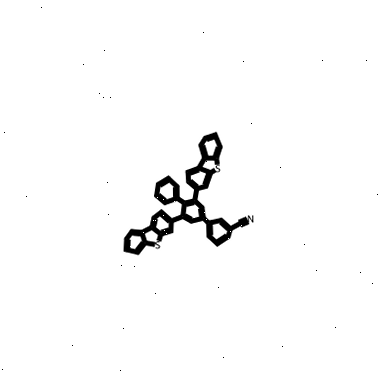 N#Cc1cccc(-c2cc(-c3ccc4c(c3)sc3ccccc34)c(-c3ccccc3)c(-c3ccc4c(c3)sc3ccccc34)c2)c1